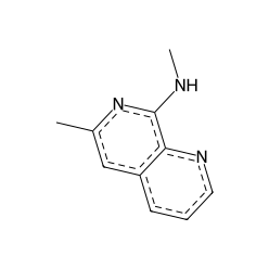 CNc1nc(C)cc2cccnc12